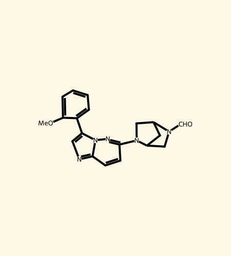 COc1ccccc1-c1cnc2ccc(N3CC4CC3CN4C=O)nn12